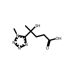 Cn1nnnc1C(C)(S)CCC(=O)O